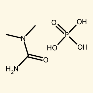 CN(C)C(N)=O.O=P(O)(O)O